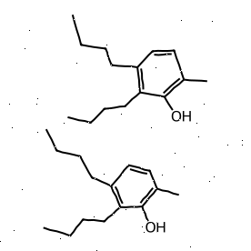 CCCCc1ccc(C)c(O)c1CCCC.CCCCc1ccc(C)c(O)c1CCCC